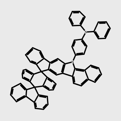 c1ccc(N(c2ccccc2)c2ccc(-n3c4cc5c(cc4c4ccc6ccccc6c43)C3(c4ccccc4-5)c4ccccc4C4(c5ccccc5-c5ccccc54)c4ccccc43)cc2)cc1